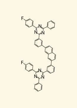 Fc1ccc(-c2nc(-c3ccccc3)nc(-c3cccc(-c4ccc5ccc(-c6cccc(-c7nc(-c8ccccc8)nc(-c8ccc(F)cc8)n7)c6)cc5c4)c3)n2)cc1